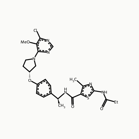 CCC(=O)Nc1nc(C)c(C(=O)N[C@@H](C)c2ccc(O[C@@H]3CCN(c4ncnc(Cl)c4OC)C3)cc2)s1